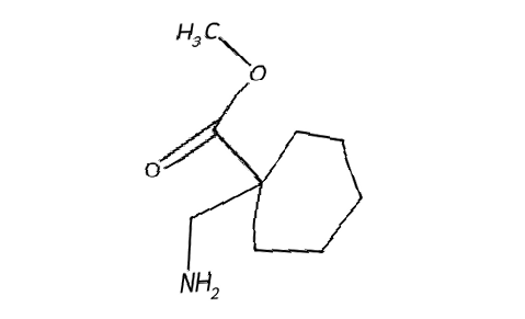 COC(=O)C1(CN)CCCCC1